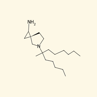 CCCCCCC(C)(CCCCC)N1CC[C@]2(CC2N)C1